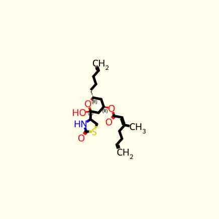 C=CCCC[C@@H]1C[C@@H](OC(=O)C=C(C)CCC=C)C[C@](O)(C2CSC(=O)N2)O1